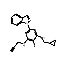 C#CCNc1nc(-n2ncc3ccccc32)nc(NCC2CC2)c1Br